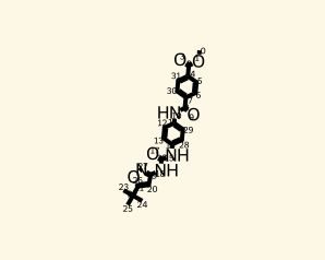 COC(=O)c1ccc(C(=O)Nc2ccc(NC(=O)Nc3cc(C(C)(C)C)on3)cc2)cc1